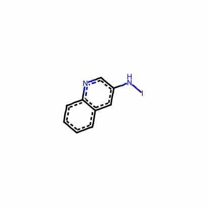 INc1cnc2ccccc2c1